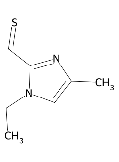 CCn1cc(C)nc1C=S